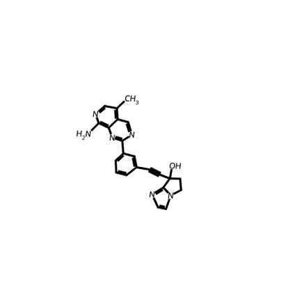 Cc1cnc(N)c2nc(-c3cccc(C#CC4(O)CCn5ccnc54)c3)ncc12